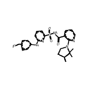 CC1CCN(c2ncccc2C(=O)NS(=O)(=O)c2cccc(Nc3ccc(F)cc3)n2)C1(C)C